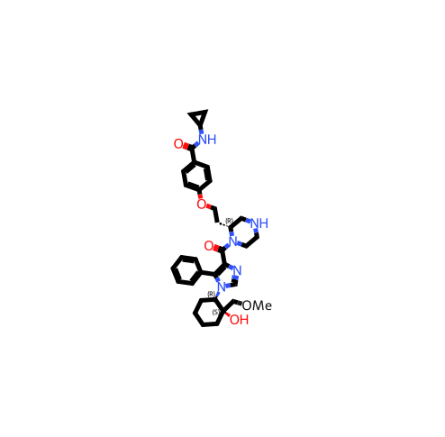 COC[C@]1(O)CCCC[C@H]1n1cnc(C(=O)N2CCNC[C@H]2CCOc2ccc(C(=O)NC3CC3)cc2)c1-c1ccccc1